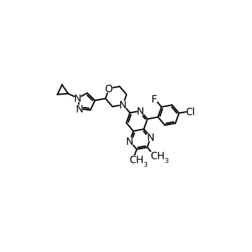 Cc1nc2cc(N3CCOC(c4cnn(C5CC5)c4)C3)nc(-c3ccc(Cl)cc3F)c2nc1C